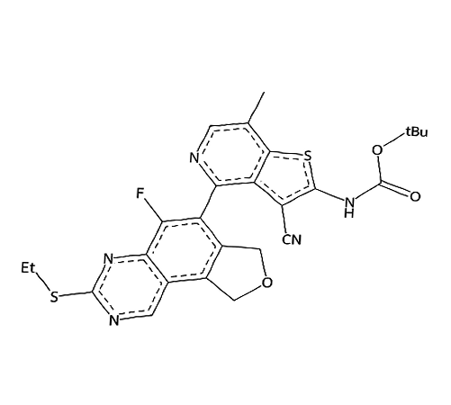 CCSc1ncc2c3c(c(-c4ncc(C)c5sc(NC(=O)OC(C)(C)C)c(C#N)c45)c(F)c2n1)COC3